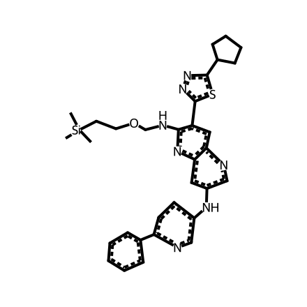 C[Si](C)(C)CCOCNc1nc2cc(Nc3ccc(-c4ccccc4)nc3)cnc2cc1-c1nnc(C2CCCC2)s1